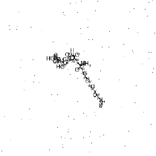 [N-]=[N+]=NCCOCCOCCOCCOCCC(=O)C(N)=CCc1cn([C@H]2C[C@H](O)[C@@H](COP(=O)(O)O)O2)c(=O)[nH]c1=O